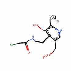 Cc1ncc(CO)c(CNC(=O)CCl)c1O